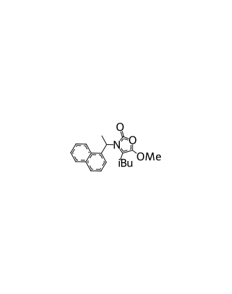 CCC(C)c1c(OC)oc(=O)n1C(C)c1cccc2ccccc12